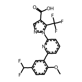 COc1ccc(C(F)F)cc1-c1cccc(-n2ncc(C(=O)O)c2C(F)(F)F)n1